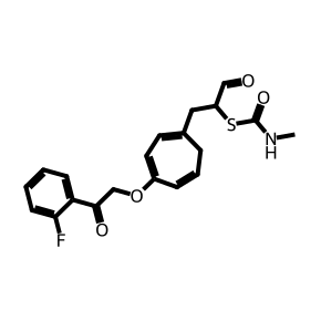 CNC(=O)SC(C=O)CC1=CC=C(OCC(=O)c2ccccc2F)C=CC1